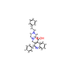 O=C(O)c1c(CN2CCN(CCc3ccccc3)CC2)c(-c2ccccc2)nc2ccccc12